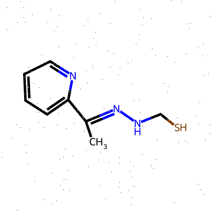 CC(=NNCS)c1ccccn1